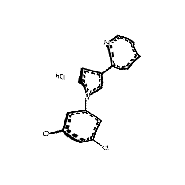 Cl.Clc1cc(Cl)cc(-n2ccc(-c3ccccn3)c2)c1